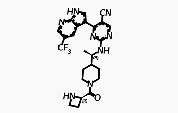 C[C@@H](Nc1ncc(C#N)c(-c2c[nH]c3ncc(C(F)(F)F)cc23)n1)C1CCN(C(=O)[C@H]2CCN2)CC1